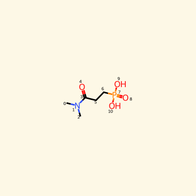 CN(C)C(=O)CCP(=O)(O)O